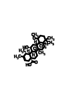 COC1CCC(C)(C)[C@@H]2CC[C@]3(C)[C@H](C[C@@H](O)[C@@H]4[C@@H]5[C@@H](C)C(C)=CC[C@]5(C(=O)O)CC[C@]43C)[C@@]12C